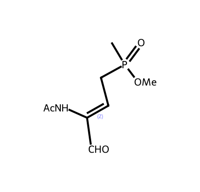 COP(C)(=O)C/C=C(/C=O)NC(C)=O